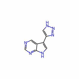 c1ncc2c(-c3c[nH]nn3)c[nH]c2n1